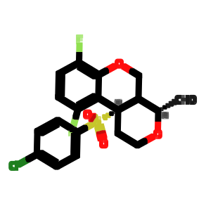 O=C[C@@H]1OCC[C@@]2(S(=O)(=O)c3ccc(Cl)cc3)c3c(F)ccc(F)c3OCC12